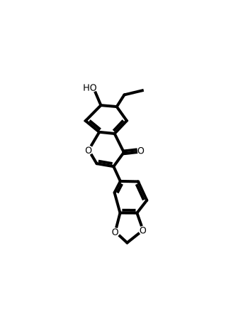 CCC1C=c2c(occ(-c3ccc4c(c3)OCO4)c2=O)=CC1O